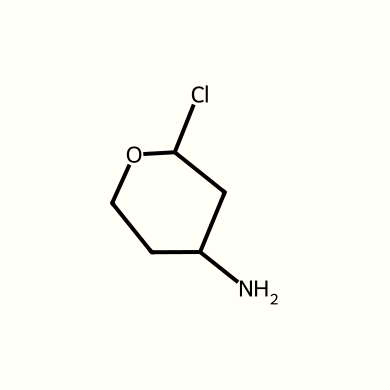 NC1CCOC(Cl)C1